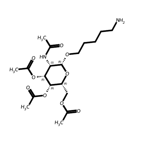 CC(=O)N[C@@H]1[C@H](OCCCCCN)O[C@H](COC(C)=O)[C@H](OC(C)=O)[C@@H]1OC(C)=O